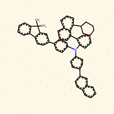 CC1(C)c2ccccc2-c2ccc(-c3ccc(N(c4ccc(-c5ccc6ccccc6c5)cc4)c4ccccc4-c4cccc5cccc(C6CCCCC6)c45)cc3)cc21